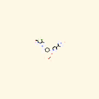 COc1ncc(-c2ccc(N(C(=O)OCC(O)O)[C@H]3CC[C@H](Nc4ncc(C(F)(F)F)c(-c5nocc5Cl)n4)CC3)nc2)cn1